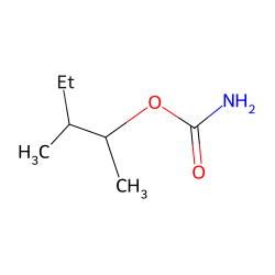 CCC(C)C(C)OC(N)=O